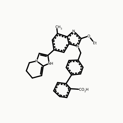 CCOc1nc2c(C)cc(C3=CN4CCCC=C4N3)cc2n1Cc1ccc(-c2ccccc2C(=O)O)cc1